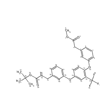 COC(=O)Cc1cccc(Oc2ccc(Oc3cccc(CNC(=O)OC(C)(C)C)n3)cc2C(F)(F)F)c1